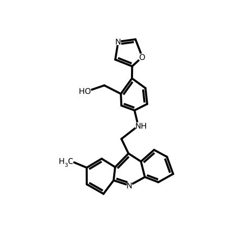 Cc1ccc2nc3ccccc3c(CNc3ccc(-c4cnco4)c(CO)c3)c2c1